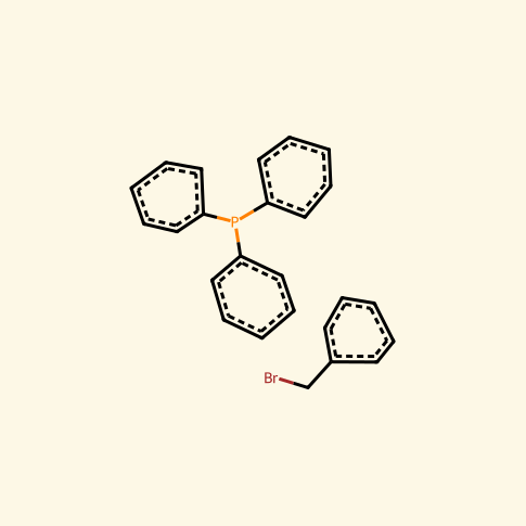 BrCc1ccccc1.c1ccc(P(c2ccccc2)c2ccccc2)cc1